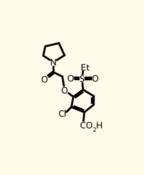 CCS(=O)(=O)c1ccc(C(=O)O)c(Cl)c1OCC(=O)N1CCCC1